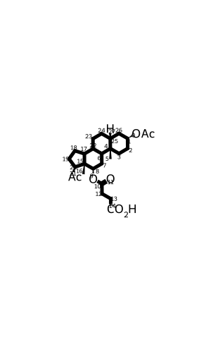 CC(=O)O[C@@H]1CC[C@]2(C)C3C[C@H](OC(=O)CCC(=O)O)[C@@]4(C)C(CC[C@@H]4C(C)=O)C3CC[C@@H]2C1